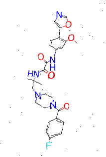 COc1cc(NC(=O)C(=O)NC(C)(C)CN2CCN(C(=O)c3ccc(F)cc3)CC2)ccc1-c1cnco1